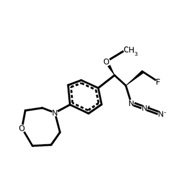 CO[C@H](c1ccc(N2CCCOCC2)cc1)[C@@H](CF)N=[N+]=[N-]